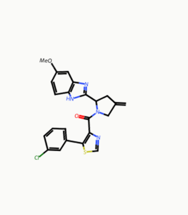 C=C1CC(c2nc3cc(OC)ccc3[nH]2)N(C(=O)c2ncsc2-c2cccc(Cl)c2)C1